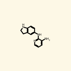 Nc1cccnc1Nc1ccc2c(c1)CCN2